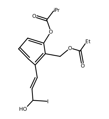 CCC(=O)OCc1c(/C=C/C(O)I)cccc1OC(=O)C(C)C